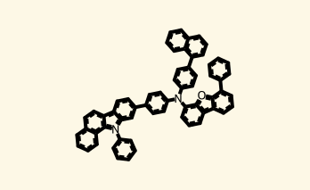 c1ccc(-c2cccc3c2oc2c(N(c4ccc(-c5ccc6c7ccc8ccccc8c7n(-c7ccccc7)c6c5)cc4)c4ccc(-c5cccc6ccccc56)cc4)cccc23)cc1